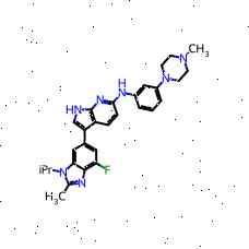 Cc1nc2c(F)cc(-c3c[nH]c4nc(Nc5cccc(N6CCN(C)CC6)c5)ccc34)cc2n1C(C)C